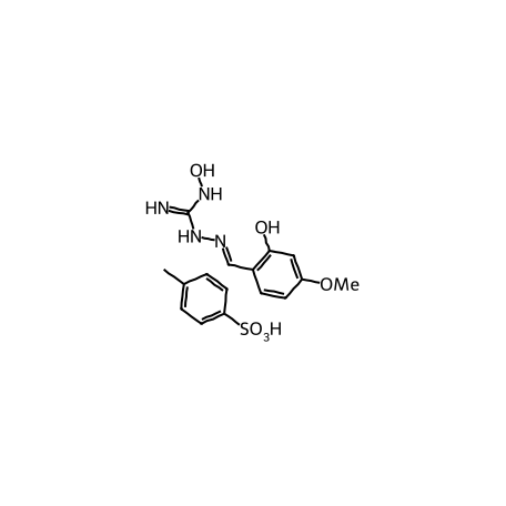 COc1ccc(C=NNC(=N)NO)c(O)c1.Cc1ccc(S(=O)(=O)O)cc1